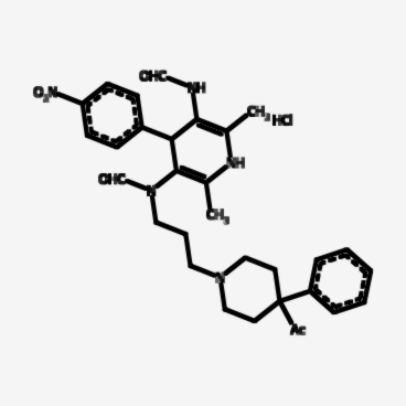 CC(=O)C1(c2ccccc2)CCN(CCCN(C=O)C2=C(C)NC(C)=C(NC=O)C2c2ccc([N+](=O)[O-])cc2)CC1.Cl